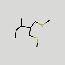 CCC(C)C(CSC)CSC